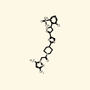 Cc1cc(C(F)(F)F)nn1CC(=O)N1CCC(c2nc(C3=NOC(c4c(Cl)cccc4P(C)(C)=O)C3)cs2)CC1